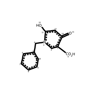 O=C(O)c1cn(Cc2ccccc2)c(O)cc1=O